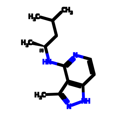 Cc1n[nH]c2ccnc(N[C@H](C)CC(C)C)c12